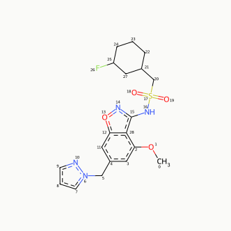 COc1cc(Cn2cccn2)cc2onc(NS(=O)(=O)CC3CCCC(F)C3)c12